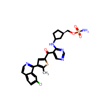 Cc1sc(C(=O)c2cncnc2NC2CC[C@@H](COS(N)(=O)=O)C2)cc1-c1nccc2ccc(Cl)cc12